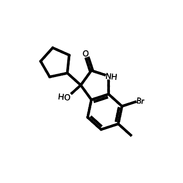 Cc1ccc2c(c1Br)NC(=O)C2(O)C1CCCC1